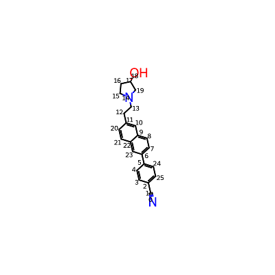 N#Cc1ccc(-c2ccc3cc(CCN4CC[C@@H](O)C4)ccc3c2)cc1